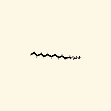 CCCCCCCCCCCCO[SeH]